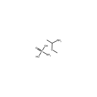 COC(C)N.NP(=O)(O)O